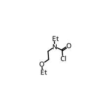 CCOCCN(CC)C(=O)Cl